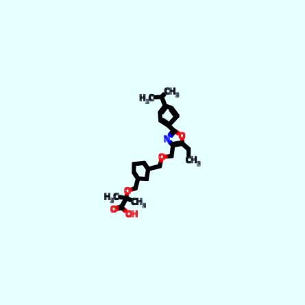 CCc1oc(-c2ccc(C(C)C)cc2)nc1COCC1CCCC(COC(C)(C)C(=O)O)C1